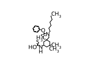 CCCCCCCN(CC1(C)CC(NC(O)=S)CC(C)(C)C1)C(=S)Oc1ccccc1